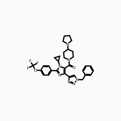 O=C(c1c(-c2cn(Cc3ccccc3)nn2)nc(-c2ccc(OC(F)(F)F)cc2)n1C1CC1)N1CCC(N2CCCC2)CC1